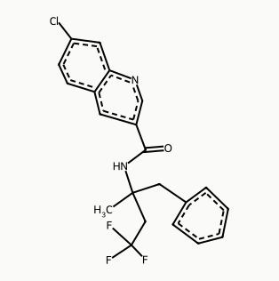 CC(Cc1ccccc1)(CC(F)(F)F)NC(=O)c1cnc2cc(Cl)ccc2c1